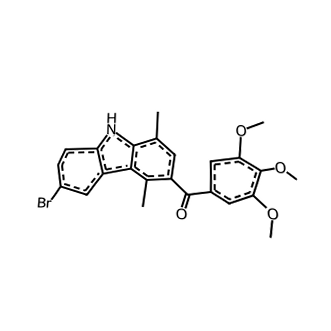 COc1cc(C(=O)c2cc(C)c3[nH]c4ccc(Br)cc4c3c2C)cc(OC)c1OC